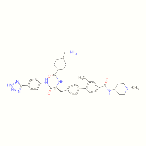 Cc1cc(C(=O)NC2CCN(C)CC2)ccc1-c1ccc(C[C@H](NC(=O)C2CCC(CN)CC2)C(=O)Nc2ccc(-c3nn[nH]n3)cc2)cc1